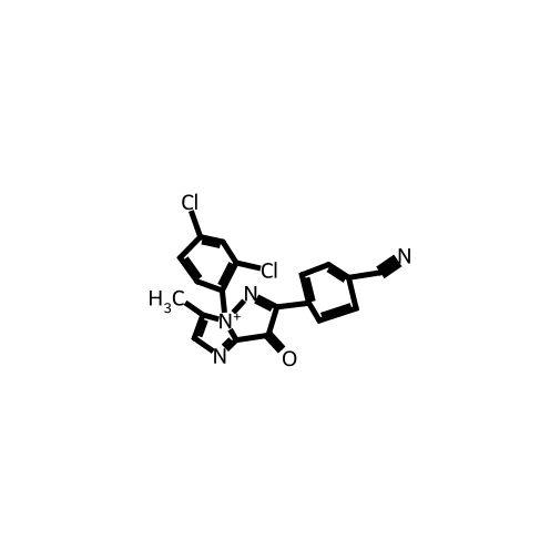 CC1=CN=C2C(=O)C(c3ccc(C#N)cc3)=N[N+]12c1ccc(Cl)cc1Cl